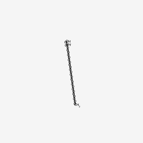 COCCOCCOCCOCCOCCOCCOCCOCCOCCOCCOCCOCCOCCOCCOCCOCCOCCOCCOCCOCCOCCOCCOCCOCCC(=O)NCCC(=O)O